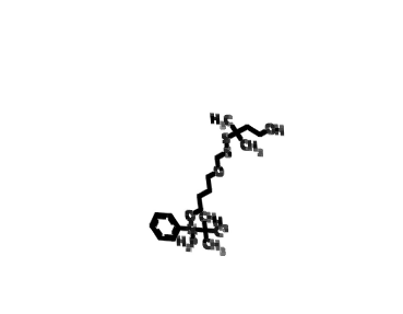 CC(C)(CCO)SSCOCCCCO[Si](P)(c1ccccc1)C(C)(C)C